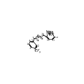 FC(F)(F)c1cccc(CSSSCc2cccnn2)c1